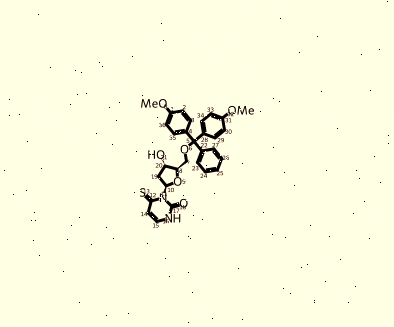 COc1ccc(C(OC[C@H]2O[C@@H](n3c(=S)cc[nH]c3=O)C[C@@H]2O)(c2ccccc2)c2ccc(OC)cc2)cc1